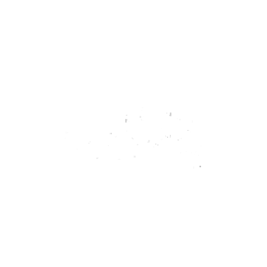 Cc1ccc(O)cc1-n1nc2c(c1N)c(=O)[nH]c1cc(OCCO)ccc12